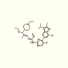 C=N/C(=C\C=C(/C)C(OCC)C1CCN(CC)CC1)Nc1ncc(F)c(-c2cc(F)c3nc(C)n(C(C)C)c3c2)n1